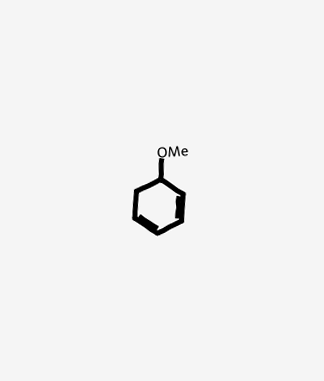 CO[C]1C=CC=CC1